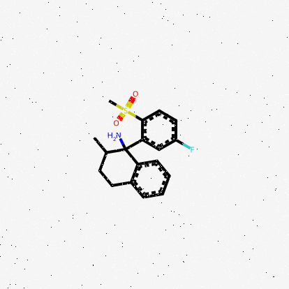 CC1CCc2ccccc2C1(N)c1cc(F)ccc1S(C)(=O)=O